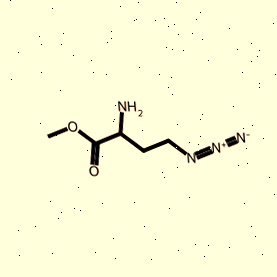 COC(=O)C(N)CCN=[N+]=[N-]